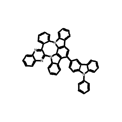 c1ccc(-n2c3ccccc3c3cc(-c4cc5c6ccccc6n6c7ccccc7c7nc8ccccc8nc7n7c8ccccc8c4c7c56)ccc32)cc1